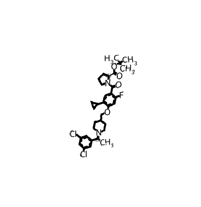 C[C@@H](c1cc(Cl)cc(Cl)c1)N1CCC(COc2cc(F)c(C(=O)N3CCC[C@H]3C(=O)OC(C)(C)C)cc2C2CC2)CC1